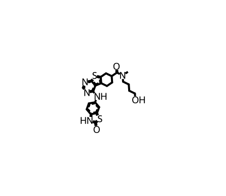 CN(CCCCO)C(=O)C1CCc2c(sc3ncnc(Nc4ccc5[nH]c(=O)sc5c4)c23)C1